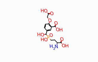 N[C@@H](CCP(=O)(O)C(O)c1ccc(OCC(=O)O)c(C(=O)O)c1)C(=O)O